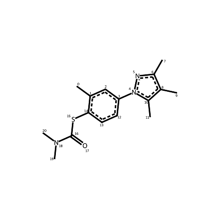 Cc1cc(-n2nc(C)c(C)c2C)ccc1SC(=O)N(C)C